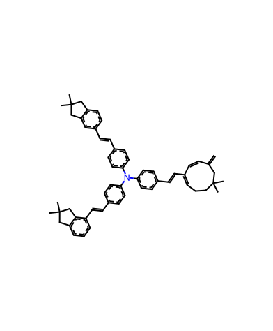 C=C1\C=C/C(/C=C/c2ccc(N(c3ccc(/C=C/c4ccc5c(c4)CC(C)(C)C5)cc3)c3ccc(/C=C/c4cccc5c4CC(C)(C)C5)cc3)cc2)=C\CCC(C)(C)C1